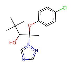 CC(C)(C)C(O)C(C)(Oc1ccc(Cl)cc1)n1cncn1